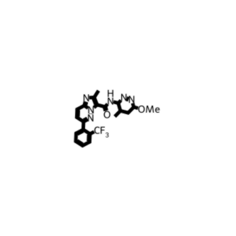 COC1CC(C)C(NC(=O)c2c(C)nc3ccc(-c4ccccc4C(F)(F)F)nn23)N=N1